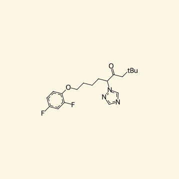 CC(C)(C)CC(=O)C(CCCCOc1ccc(F)cc1F)n1cncn1